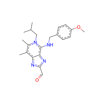 COc1ccc(CNc2c3nc(C=O)nc-3c(C)c(C)n2CC(C)C)cc1